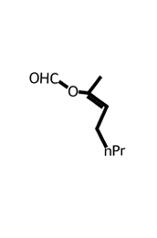 CCCCC=C(C)OC=O